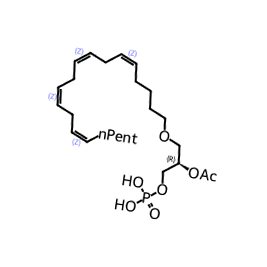 CCCCC/C=C\C/C=C\C/C=C\C/C=C\CCCCOC[C@H](COP(=O)(O)O)OC(C)=O